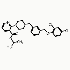 CC(C)OC(=O)c1cccnc1N1CCN(Cc2cccc(COc3ccc(Cl)cc3Cl)c2)CC1